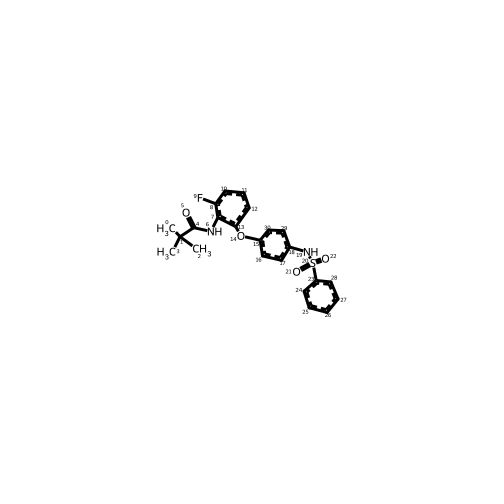 CC(C)(C)C(=O)Nc1c(F)cccc1Oc1ccc(NS(=O)(=O)c2ccccc2)cc1